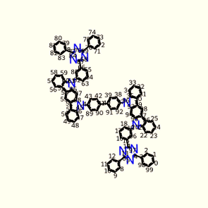 c1ccc(-c2nc(-c3ccccc3)nc(-c3cccc(-n4c5ccccc5c5cc6c7ccccc7n(-c7ccc(-c8ccc(-n9c%10ccccc%10c%10cc%11c%12ccccc%12n(-c%12cccc(-c%13nc(-c%14ccccc%14)nc(-c%14ccccc%14)n%13)c%12)c%11cc%109)cc8)cc7)c6cc54)c3)n2)cc1